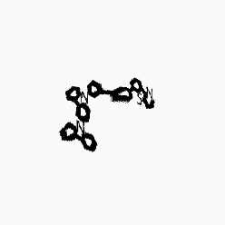 c1cc(-c2cccc(-n3c4ccccc4c4cc(-n5c6ccccc6c6ccccc65)ccc43)c2)cc(-c2cccc3c2sc2cccnc23)c1